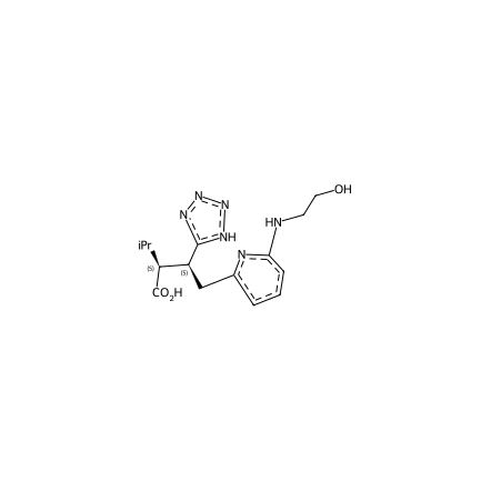 CC(C)[C@H](C(=O)O)[C@H](Cc1cccc(NCCO)n1)c1nnn[nH]1